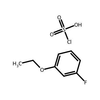 CCOc1cccc(F)c1.O=S(=O)(O)Cl